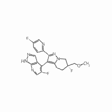 COC[C@@]1(F)CCc2c(-c3c(F)cnc4[nH]ncc34)c(-c3ccc(F)cn3)nn2C1